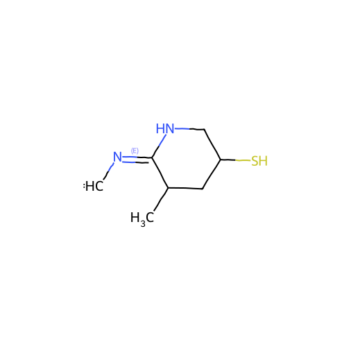 [CH]/N=C1/NCC(S)CC1C